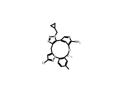 Cc1ccc2c(c1)[C@@H](C)Oc1cc(cnc1N)-c1c(nnn1CC1CC1)Cc1cc(Cl)nn1-2